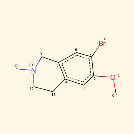 COc1cc2c(cc1Br)CN(C)CC2